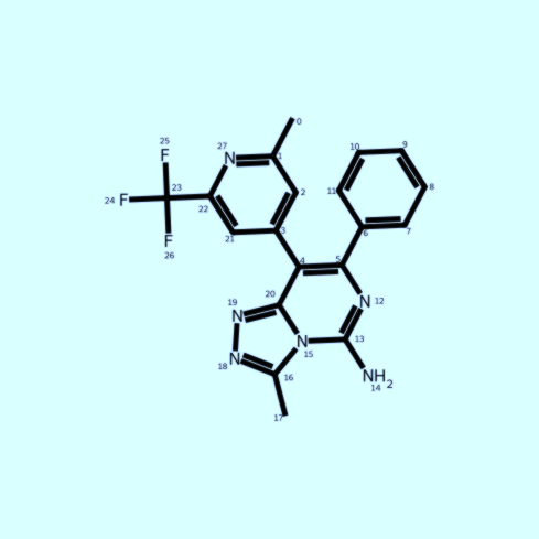 Cc1cc(-c2c(-c3ccccc3)nc(N)n3c(C)nnc23)cc(C(F)(F)F)n1